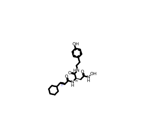 O=C(/C=C/C1CCCCC1)N[C@H](CC(=O)NO)C(=O)NCCc1ccc(O)cc1